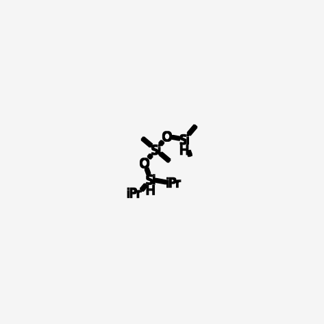 CC(C)[SiH](O[Si](C)(C)O[SiH](C)C)C(C)C